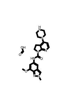 COc1cc(NC(=O)N2CCc3c(N4CCNCC4)ccnc32)cc2cn(C)nc12.O=CO